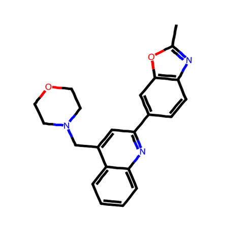 Cc1nc2ccc(-c3cc(CN4CCOCC4)c4ccccc4n3)cc2o1